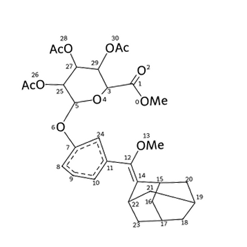 COC(=O)C1OC(Oc2cccc(C(OC)=C3C4CC5CC(C4)CC3C5)c2)C(OC(C)=O)C(OC(C)=O)C1OC(C)=O